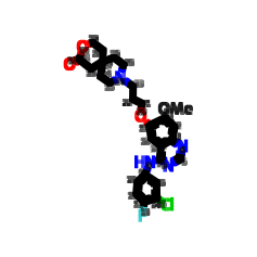 COc1cc2ncnc(Nc3ccc(F)c(Cl)c3)c2cc1OCCCN1CCC2(CCOC(=O)C2)CC1